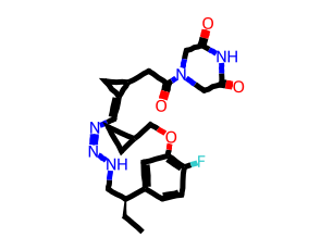 CC[C@@H](CN/N=N\C=C1/CC1CC(=O)N1CC(=O)NC(=O)C1)c1ccc(F)c(OCC2CC2)c1